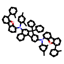 Cc1ccc(N(c2ccc3c(c2)C(c2ccccc2)(c2ccccc2)c2cc(N(c4ccc(C)cc4C)c4cccc5c4oc4c(-c6ccccc6C)cccc45)c4ccccc4c2-3)c2cccc3c2oc2c(-c4ccccc4C)cccc23)c(C)c1